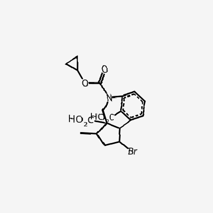 CC1CC(Br)C2c3cccc(c3C(=O)O)N(C(=O)OC3CC3)CC12C(=O)O